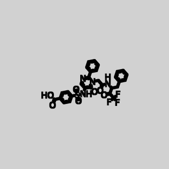 O=C(Cn1c(-c2ccccc2)ncc(NS(=O)(=O)c2ccc(C(=O)O)cc2)c1=O)NC(Cc1ccccc1)C(=O)C(F)(F)F